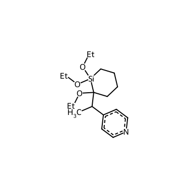 CCOC1(C(C)c2ccncc2)CCCC[Si]1(OCC)OCC